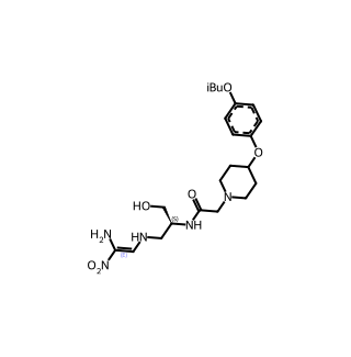 CC(C)COc1ccc(OC2CCN(CC(=O)N[C@H](CO)CN/C=C(\N)[N+](=O)[O-])CC2)cc1